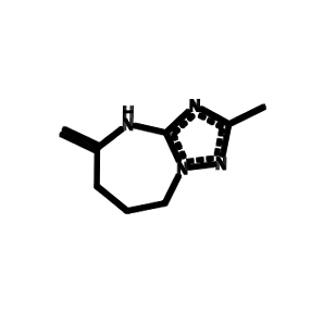 C=C1CCCn2nc(C)nc2N1